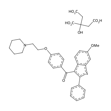 COc1ccc2c(C(=O)c3ccc(OCCN4CCCCC4)cc3)c(-c3ccccc3)sc2c1.O=C(O)CC(O)(CC(=O)O)C(=O)O